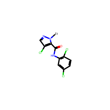 CCn1ncc(Cl)c1C(=O)Nc1cc(Cl)ccc1Cl